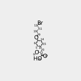 CO[C@@H](Cc1ccc(OCCCCBr)cc1)C(=O)O